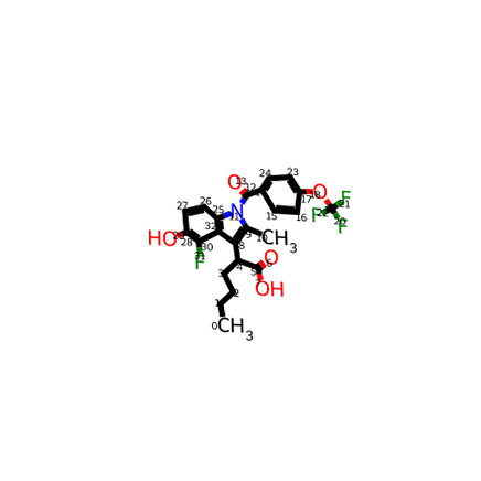 CCCCC(C(=O)O)c1c(C)n(C(=O)c2ccc(OC(F)(F)F)cc2)c2ccc(O)c(F)c12